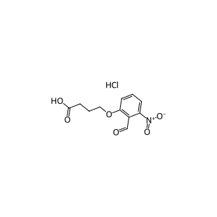 Cl.O=Cc1c(OCCCC(=O)O)cccc1[N+](=O)[O-]